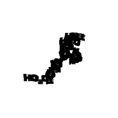 CCNC(=O)Nc1nc2cc(-c3cnc(N4CCC(CC)(C(=O)O)CC4)nc3)cc(-c3ncccn3)c2s1